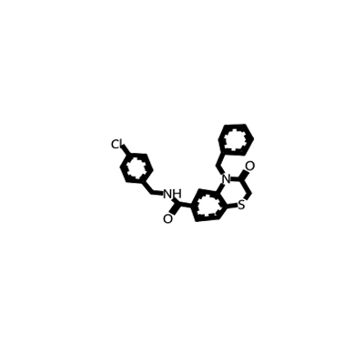 O=C(NCc1ccc(Cl)cc1)c1ccc2c(c1)N(Cc1ccccc1)C(=O)CS2